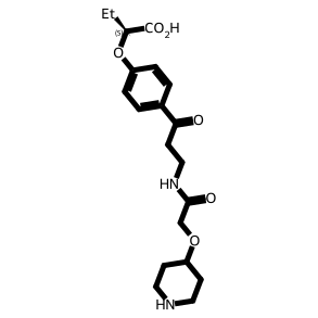 CC[C@H](Oc1ccc(C(=O)CCNC(=O)COC2CCNCC2)cc1)C(=O)O